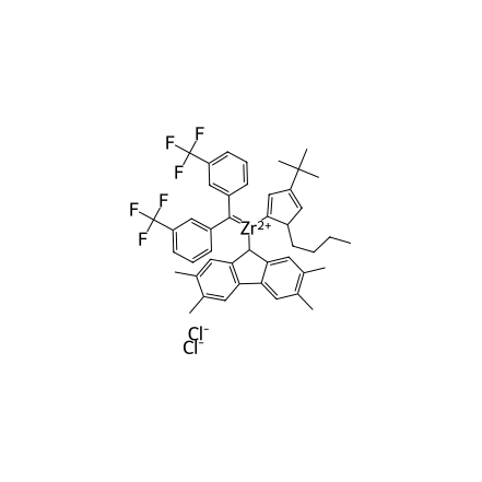 CCCCC1C=C(C(C)(C)C)C=[C]1[Zr+2](=[C](c1cccc(C(F)(F)F)c1)c1cccc(C(F)(F)F)c1)[CH]1c2cc(C)c(C)cc2-c2cc(C)c(C)cc21.[Cl-].[Cl-]